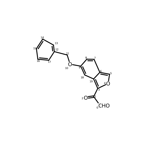 O=CC(=O)c1occ2ccc(OCc3ccccc3)cc12